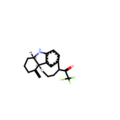 C=C1CCC[C@@H]2Nc3ccc4cc3[C@]12CCCC4C(=O)C(F)(F)F